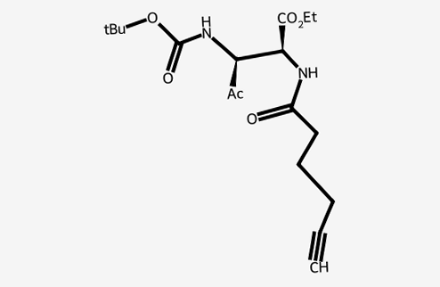 C#CCCCC(=O)N[C@H](C(=O)OCC)[C@H](NC(=O)OC(C)(C)C)C(C)=O